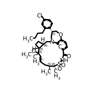 CCCCc1cc(Cl)ccc1[C@@H]1COc2ccc3cc2N(C1)C[C@@H]1CC[C@H]1[C@@](C)(OC)/C=C/C[C@H](C)[C@@H](C)S(=O)(=O)NC3=O